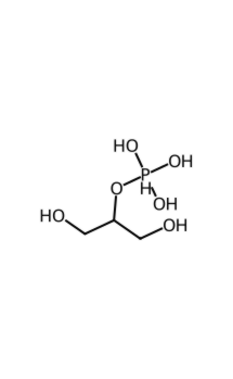 OCC(CO)O[PH](O)(O)O